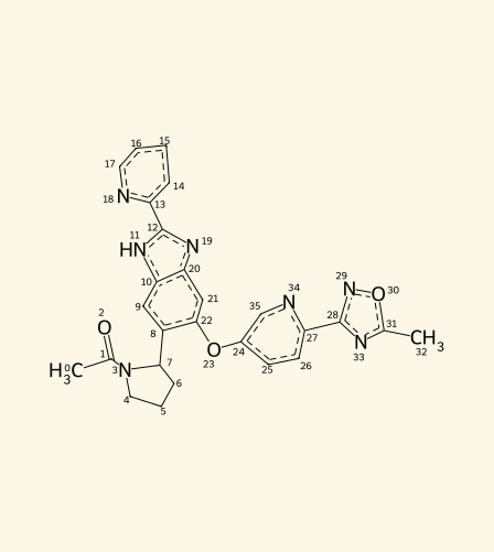 CC(=O)N1CCCC1c1cc2[nH]c(-c3ccccn3)nc2cc1Oc1ccc(-c2noc(C)n2)nc1